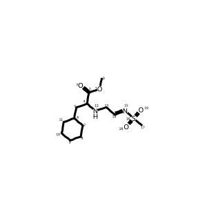 COC(=O)C(CC1CCCCC1)NCC=NS(C)(=O)=O